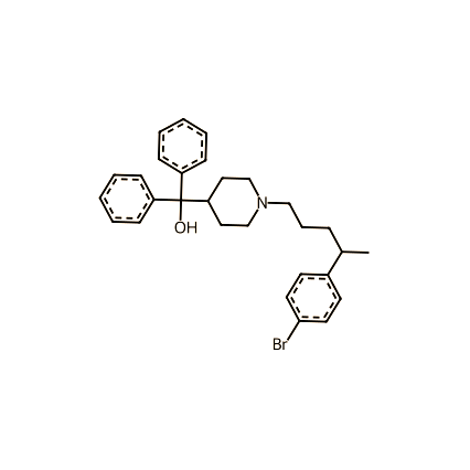 CC(CCCN1CCC(C(O)(c2ccccc2)c2ccccc2)CC1)c1ccc(Br)cc1